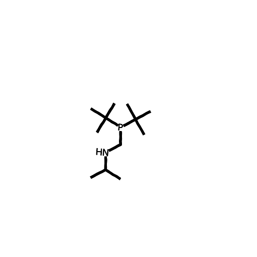 CC(C)NCP(C(C)(C)C)C(C)(C)C